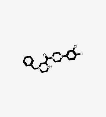 O=C(C1CN(CC2=CCCC=C2)CCN1)N1CCN(c2ccc(Cl)c(Cl)c2)CC1